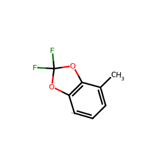 Cc1cc[c]c2c1OC(F)(F)O2